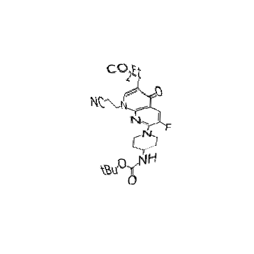 CCOC(=O)c1cn(CCC#N)c2nc(N3CCC(NC(=O)OC(C)(C)C)CC3)c(F)cc2c1=O